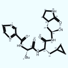 CC(C)(C)[C@H](NC(=O)c1cnccn1)C(=O)N[C@@H](CC1CC1)C(=O)N[C@H](C#N)C[C@@H]1CCNC1=O